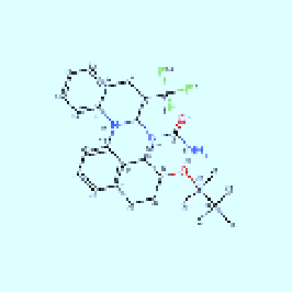 CN(C(N)=O)C1C(C(F)(F)F)Cc2ccccc2N1c1cccc2c1CC(O[Si](C)(C)C(C)(C)C)CC2